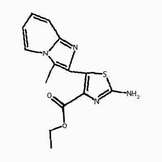 CCOC(=O)c1nc(N)sc1-c1nc2ccccn2c1C